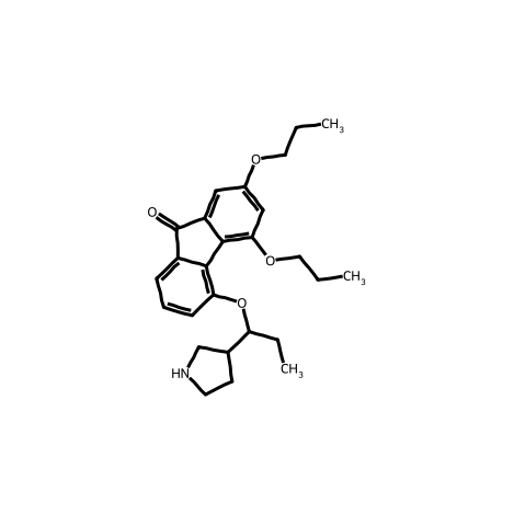 CCCOc1cc(OCCC)c2c(c1)C(=O)c1cccc(OC(CC)C3CCNC3)c1-2